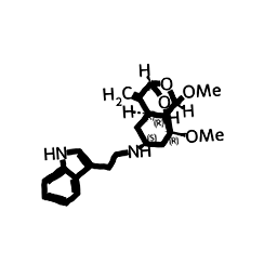 C=C1[C@H]2O[C@@H](OC)[C@H]3[C@H]1C[C@H](NCCc1c[nH]c4ccccc14)C[C@@]3(OC)O2